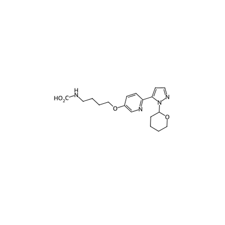 O=C(O)NCCCCOc1ccc(-c2ccnn2C2CCCCO2)nc1